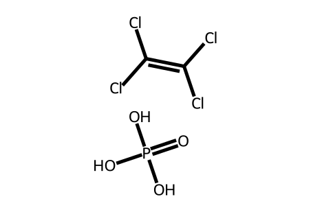 ClC(Cl)=C(Cl)Cl.O=P(O)(O)O